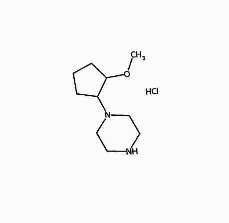 COC1CCCC1N1CCNCC1.Cl